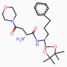 CC1(C)OB([C@H](CCCc2ccccc2)NC(=O)[C@H](N)CC(=O)N2CCOCC2)OC1(C)C